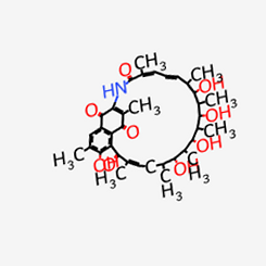 CC1=CCC(C)C(O)C(C)C(O)C(C)C(O)C(C)C(O)C(C)/C=C/C=C(/C)C(=O)NC2=C(C)C(=O)c3c(cc(C)c(O)c3C1=O)C2=O